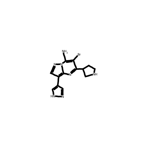 Nc1c(Br)c(C2CCNC2)nc2c(-c3cn[nH]c3)cnn12